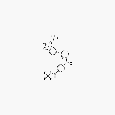 CCOc1cc(C2=NN(C(=O)c3ccc(NC(=O)C(F)(F)F)cc3)CCC2)ccc1OC